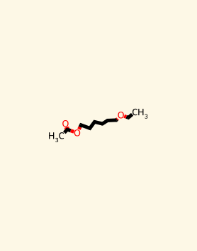 CCOCCCCCCOC(C)=O